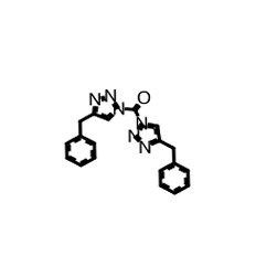 O=C(n1cc(Cc2ccccc2)nn1)n1cc(Cc2ccccc2)nn1